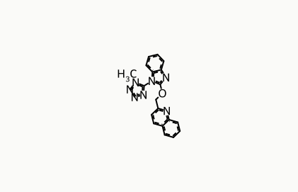 Cn1nnnc1-n1c(OCc2ccc3ccccc3n2)nc2ccccc21